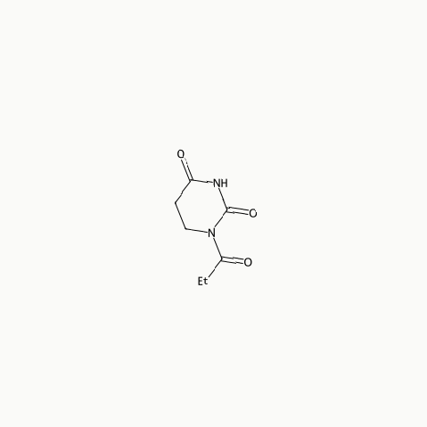 CCC(=O)N1CCC(=O)NC1=O